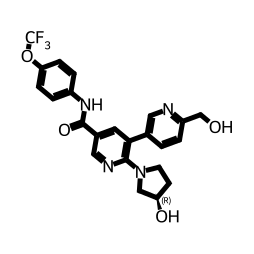 O=C(Nc1ccc(OC(F)(F)F)cc1)c1cnc(N2CC[C@@H](O)C2)c(-c2ccc(CO)nc2)c1